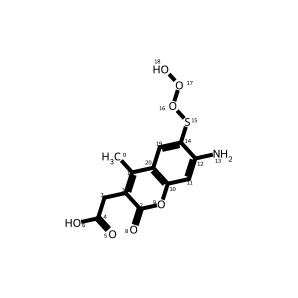 Cc1c(CC(=O)O)c(=O)oc2cc(N)c(SOOO)cc12